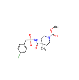 CC(C)(C)OC(=O)N1CCC(C)(C(=O)NS(=O)(=O)Cc2ccc(F)cc2)CC1